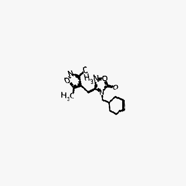 Cc1noc(C)c1Cc1noc(=O)n1CC1CCCCC1